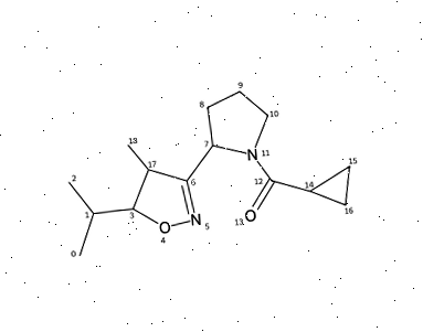 CC(C)C1ON=C(C2CCCN2C(=O)C2CC2)C1C